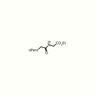 CCCCCCC(=O)NCC(=O)OCC